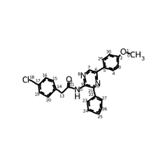 COc1ccc(-c2cnc(NC(=O)Cc3ccc(Cl)cc3)c(-c3ccccc3)n2)cc1